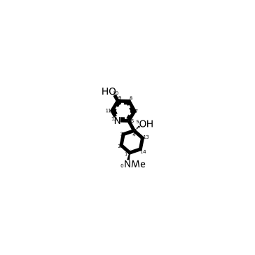 CN[C@H]1CC[C@@](O)(c2ccc(O)cn2)CC1